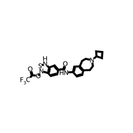 O=C(Nc1ccc2c(c1)CCN(C1CCC1)CC2)c1ccc2c(c1)NSN2OC(=O)C(F)(F)F